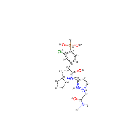 CN(C)C(=O)Cn1ccc(NC(=O)[C@H](CC2CCCC2)c2ccc(S(C)(=O)=O)c(Cl)c2)n1